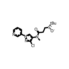 CN(C(=O)CC[S+]([O-])C(C)(C)C)c1cn(-c2cccnc2)nc1Cl